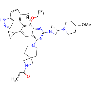 C=CC(=O)N1CC2(CCN(c3nc(N4CC(N5CCC(OC)CC5)C4)nc4c(OCC(F)(F)F)c(-c5c(C)ccc6[nH]ncc56)c(C5CC5)cc34)CC2)C1